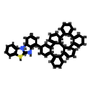 c1ccc2c(c1)sc1nc3c(-c4ccc5c(c4)c4cccc6c4-c4c(cccc4c4ccccc45)c4ccccc4c4ccccc64)cccc3n12